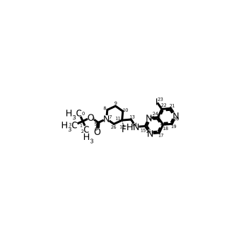 CC(C)(C)OC(=O)N1CCC[C@@](F)(CNc2ncc3cncc(I)c3n2)C1